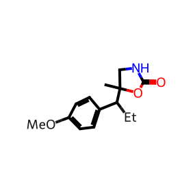 CCC(c1ccc(OC)cc1)C1(C)CNC(=O)O1